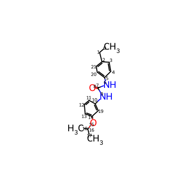 CCc1ccc(NC(=O)Nc2cccc(OC(C)C)c2)cc1